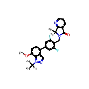 [2H]C1([2H])c2ncccc2C(=O)N1Cc1c(F)cc(-c2ccc(OC(C)C)c3c2cnn3C([2H])([2H])[2H])cc1F